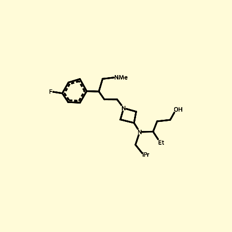 CCC(CCO)N(CC(C)C)C1CN(CCC(CNC)c2ccc(F)cc2)C1